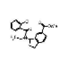 COC(=O)c1ccc2c(c1)C(N(CC(F)(F)F)C(=O)c1ccccc1Cl)CC2